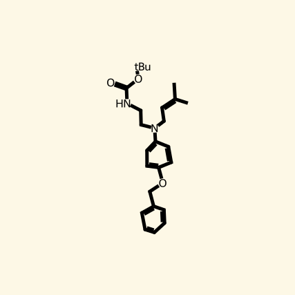 CC(C)=CCN(CCNC(=O)OC(C)(C)C)c1ccc(OCc2ccccc2)cc1